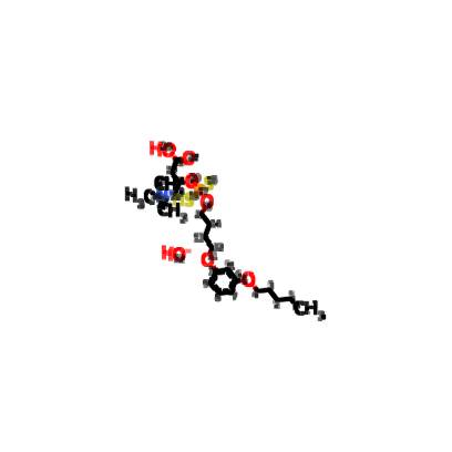 CCCCCOc1cccc(OCCCCOP(=S)(S)OC(CC(=O)O)C[N+](C)(C)C)c1.[OH-]